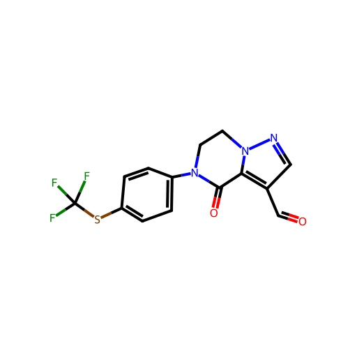 O=Cc1cnn2c1C(=O)N(c1ccc(SC(F)(F)F)cc1)CC2